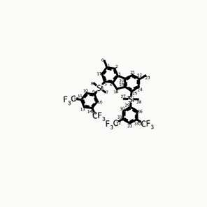 Cc1cc2c(c([Si](C)(C)c3cc(C(F)(F)F)cc(C(F)(F)F)c3)c1)Cc1c-2cc(C)cc1[Si](C)(C)c1cc(C(F)(F)F)cc(C(F)(F)F)c1